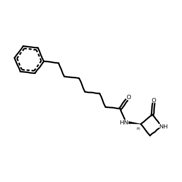 O=C(CCCCCCc1ccccc1)N[C@@H]1CNC1=O